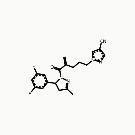 C=C(CCCn1cc(C#N)cn1)C(=O)N1N=C(C)CC1c1cc(F)cc(F)c1